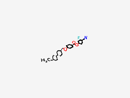 CC[C@H]1CC[C@H]([C@H]2CC[C@H](COc3ccc(C(=O)Oc4ccc(C#N)c(F)c4)cc3)CC2)CC1